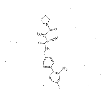 Nc1cc(F)ccc1-c1ccc(CNC(=O)[C@H](O)[C@@H](O)C(=O)N2CCCC2)cc1